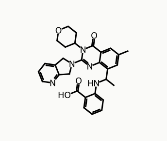 Cc1cc(C(C)Nc2ccccc2C(=O)O)c2nc(N3Cc4cccnc4C3)n(C3CCOCC3)c(=O)c2c1